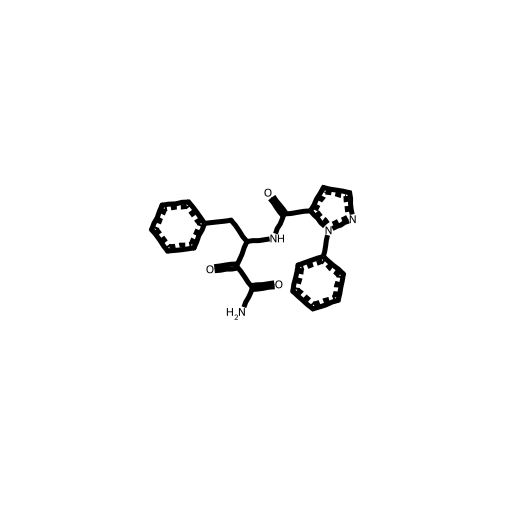 NC(=O)C(=O)C(Cc1ccccc1)NC(=O)c1ccnn1-c1ccccc1